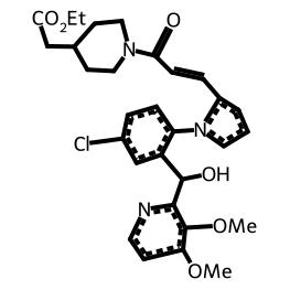 CCOC(=O)CC1CCN(C(=O)/C=C/c2cccn2-c2ccc(Cl)cc2C(O)c2nccc(OC)c2OC)CC1